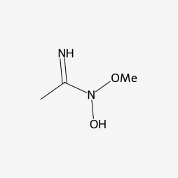 CON(O)C(C)=N